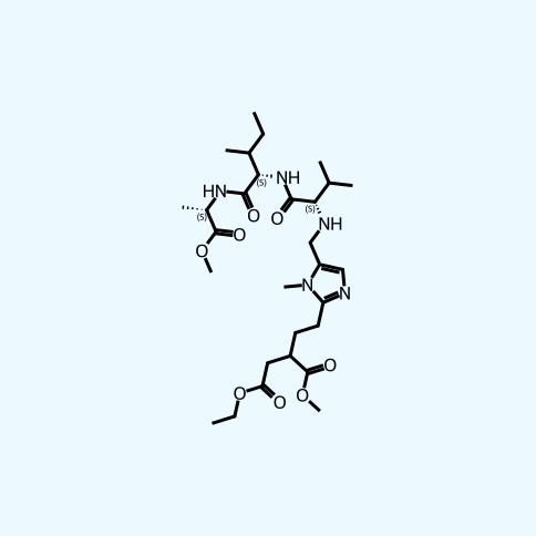 CCOC(=O)CC(CCc1ncc(CN[C@H](C(=O)N[C@H](C(=O)N[C@@H](C)C(=O)OC)C(C)CC)C(C)C)n1C)C(=O)OC